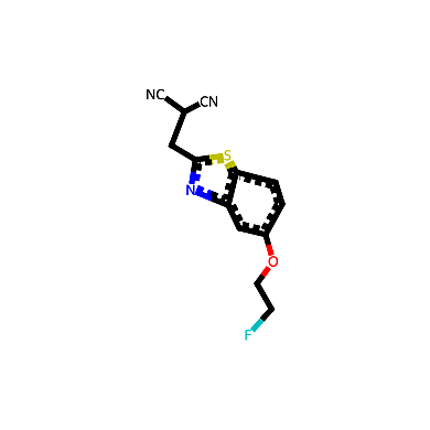 N#CC(C#N)Cc1nc2cc(OCCF)ccc2s1